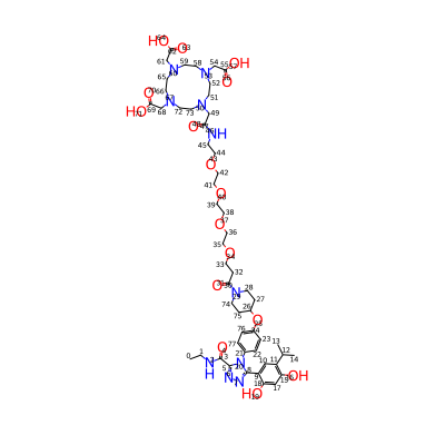 CCNC(=O)c1nnc(-c2cc(C(C)C)c(O)cc2O)n1-c1ccc(OC2CCN(C(=O)CCOCCOCCOCCOCCNC(=O)CN3CCN(CC(=O)O)CCN(CC(=O)O)CCN(CC(=O)O)CC3)CC2)cc1